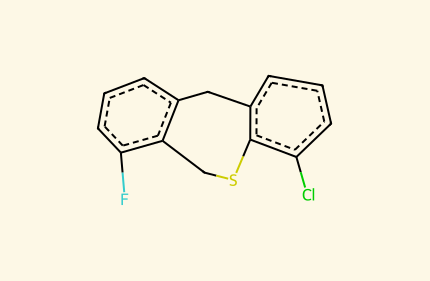 Fc1cccc2c1CSc1c(Cl)cccc1C2